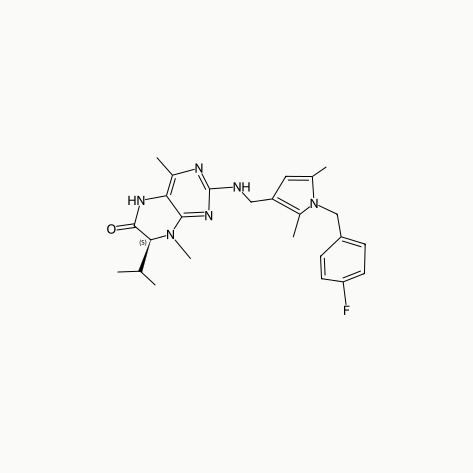 Cc1nc(NCc2cc(C)n(Cc3ccc(F)cc3)c2C)nc2c1NC(=O)[C@H](C(C)C)N2C